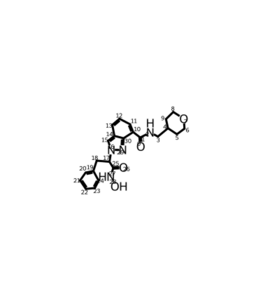 O=C(NCC1CCOCC1)c1cccc2cn(C(Cc3ccccc3)C(=O)NO)nc12